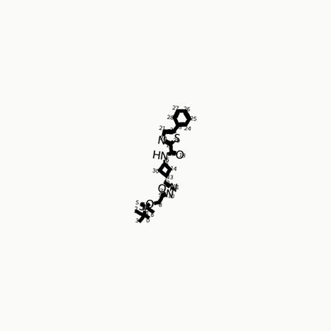 CC(C)(C)[Si](C)(C)OCc1nnc([C@H]2C[C@H](NC(=O)c3ncc(-c4ccccc4)s3)C2)o1